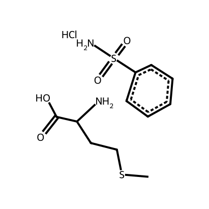 CSCCC(N)C(=O)O.Cl.NS(=O)(=O)c1ccccc1